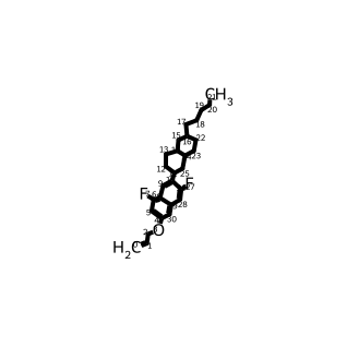 C=CCOc1cc(F)c2cc(C3CCC4CC(CCCCC)CCC4C3)c(F)cc2c1